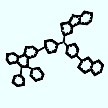 c1ccc(-c2c(-c3ccccc3)c3cc(-c4ccc(N(c5ccc(-c6ccc7ccccc7c6)cc5)c5ccc6sc7ccccc7c6c5)cc4)ccc3c3ccccc23)cc1